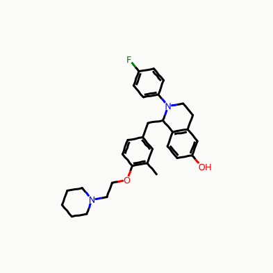 Cc1cc(CC2c3ccc(O)cc3CCN2c2ccc(F)cc2)ccc1OCCN1CCCCC1